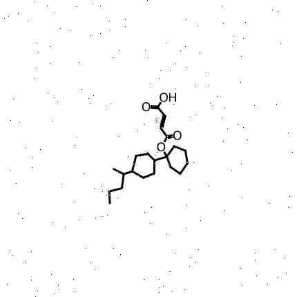 CCCC(C)C1CCC(C2(OC(=O)/C=C/C(=O)O)CCCCC2)CC1